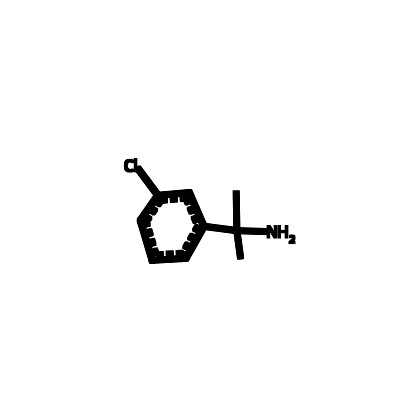 CC(C)(N)c1cccc(Cl)c1